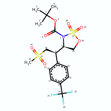 CC(C)(C)OC(=O)N1[C@H]([C@H](CS(C)(=O)=O)c2ccc(C(F)(F)F)cc2)COS1(=O)=O